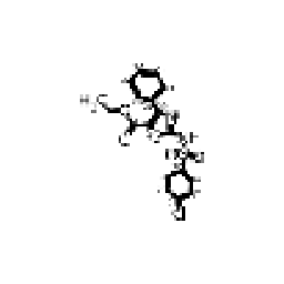 CCOC(=O)c1sc(NS(=O)(=O)c2ccc(Cl)cc2)nc1-c1ccccc1